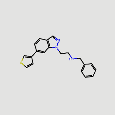 c1ccc(CNCCn2ncc3ccc(-c4ccsc4)cc32)cc1